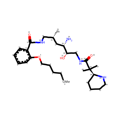 COCCCCOc1ccccc1C(=O)NC[C@@H](C[C@H](N)[C@@H](O)CNC(=O)C(C)(C)[C@@H]1CCCCN1)C(C)C